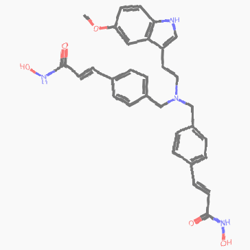 COc1ccc2[nH]cc(CCN(Cc3ccc(/C=C/C(=O)NO)cc3)Cc3ccc(/C=C/C(=O)NO)cc3)c2c1